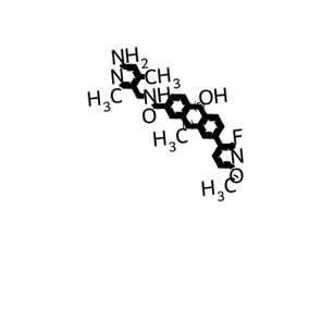 COc1ccc(-c2ccc3c(c2)[C@@H](C)c2cc(C(=O)NCc4c(C)cc(N)nc4C)ccc2[C@H]3O)c(F)n1